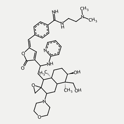 CN(C)CCNC(=N)c1ccc(/C=C2\C=C(C(CC3C4(CO4)C(N4CCOCC4)CC4[C@]3(C)CC[C@@H](O)[C@@]4(C)CO)Nc3ccccn3)C(=O)O2)cc1